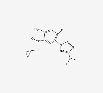 Cc1cc(F)c(-n2cnc(C(F)F)n2)cc1[S+]([O-])CC1CC1